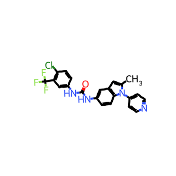 Cc1cc2cc(NC(=O)Nc3ccc(Cl)c(C(F)(F)F)c3)ccc2n1-c1ccncc1